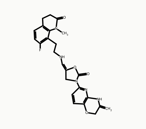 C=C1COc2ccc(N3C/C(=C/NCCc4c(F)ccc5c4N(C)C(=O)CC5)OC3=O)nc2N1